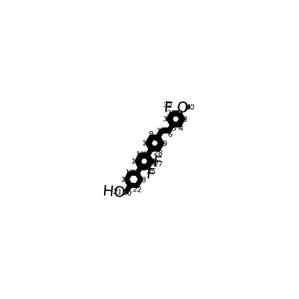 COc1ccc(/C=C/c2ccc(-c3ccc(C4CCC(CO)CC4)c(F)c3F)cc2)cc1F